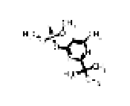 COP(=S)(OC)Oc1cc(C)nc(C(C)(C)C)n1